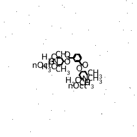 CCCCCCCCON1C(C)(C)CC(OC(=O)c2cccc(C(=O)OC3CC(C)(C)N(OCCCCCCCC)C(C)(C)C3)c2)CC1(C)C